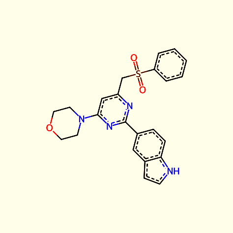 O=S(=O)(Cc1cc(N2CCOCC2)nc(-c2ccc3[nH]ccc3c2)n1)c1ccccc1